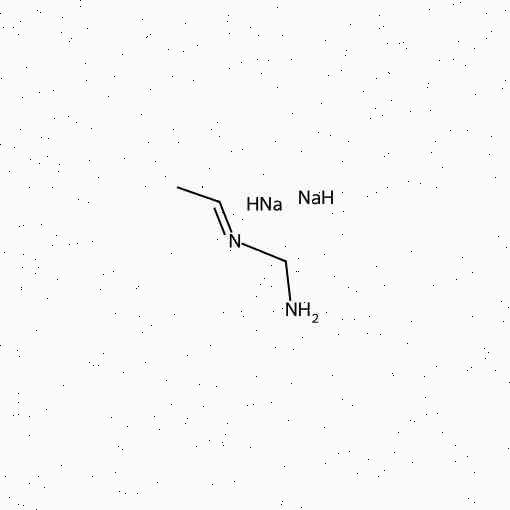 CC=NCN.[NaH].[NaH]